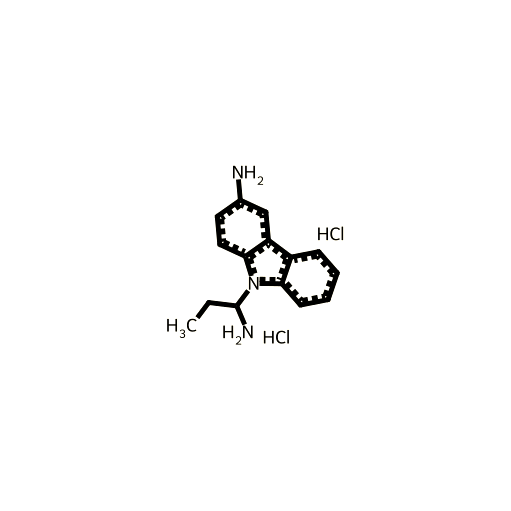 CCC(N)n1c2ccccc2c2cc(N)ccc21.Cl.Cl